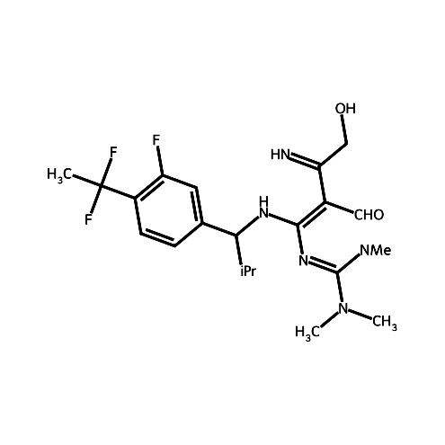 CN/C(=N\C(NC(c1ccc(C(C)(F)F)c(F)c1)C(C)C)=C(/C=O)C(=N)CO)N(C)C